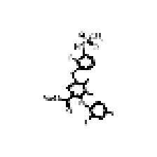 COC(=O)c1cc(Cc2cccc(NS(C)(=O)=O)c2F)c(F)c(F)c1Nc1ccc(I)cc1F